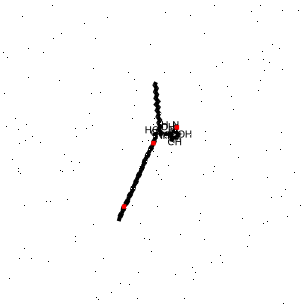 CC#CC#CC#CC#CC#CC#CC#CC#CC#CC#CC#CC#CC(=O)N[C@@H](CO[C@H]1OC(CN)[C@H](O)[C@H](C)C1O)[C@H](O)[C@H](O)CCCCCCCCCCCCCC